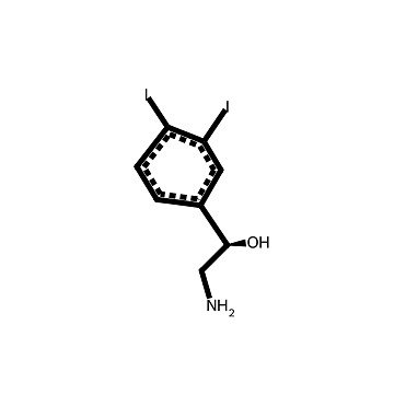 NC[C@H](O)c1ccc(I)c(I)c1